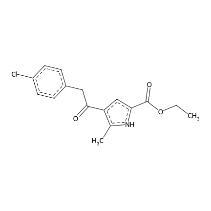 CCOC(=O)c1cc(C(=O)Cc2ccc(Cl)cc2)c(C)[nH]1